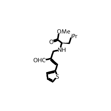 COC(=O)[C@@H](CC(C)C)NC/C(C=O)=C/c1cccs1